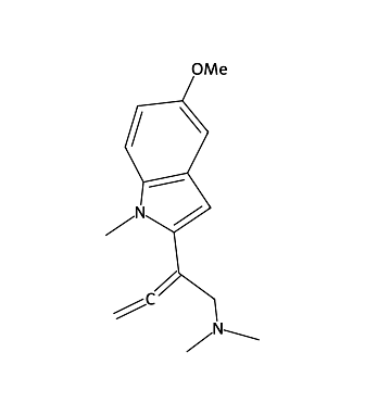 C=C=C(CN(C)C)c1cc2cc(OC)ccc2n1C